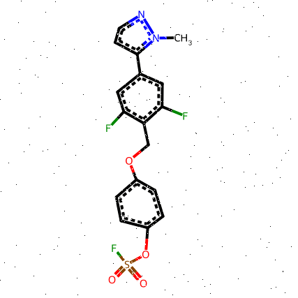 Cn1nccc1-c1cc(F)c(COc2ccc(OS(=O)(=O)F)cc2)c(F)c1